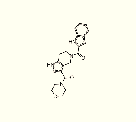 O=C(c1cc2ccccc2[nH]1)N1CCc2[nH]nc(C(=O)N3CCOCC3)c2C1